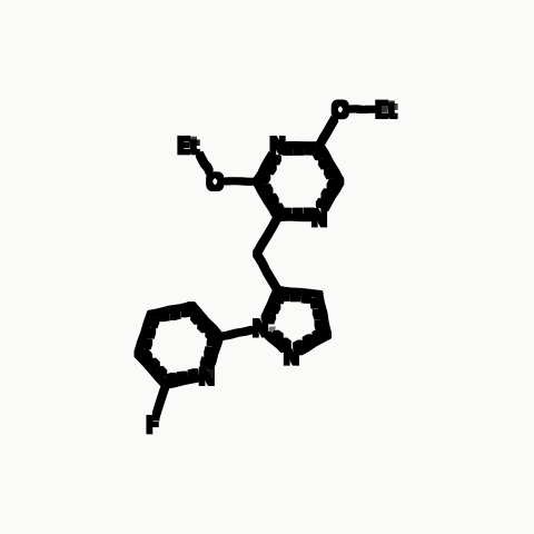 CCOc1cnc(Cc2ccnn2-c2cccc(F)n2)c(OCC)n1